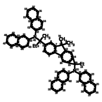 CCC(C)(c1ccc2c(c1)C(C)(C)c1cc3c(cc1-2)C3(CC)N(c1ccc2ccccc2c1)c1ccc2ccccc2c1)N(c1ccc2ccccc2c1)c1ccc2ccccc2c1